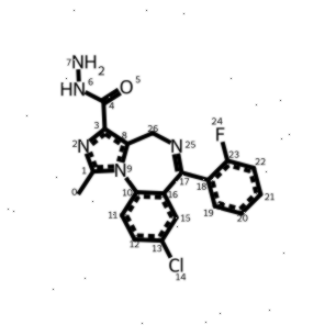 Cc1nc(C(=O)NN)c2n1-c1ccc(Cl)cc1C(c1ccccc1F)=NC2